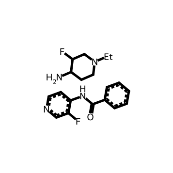 CCN1CCC(N)C(F)C1.O=C(Nc1ccncc1F)c1ccccc1